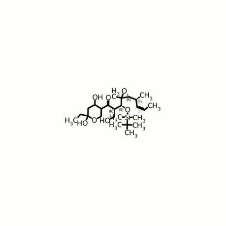 C/C=C\[C@H](C)[C@H]1OC1(C)[C@@H](O[Si](C)(C)C(C)(C)C)[C@@H](CO)C(=O)C1COC(O)(CC)CC1O